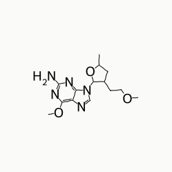 COCCC1CC(C)OC1n1cnc2c(OC)nc(N)nc21